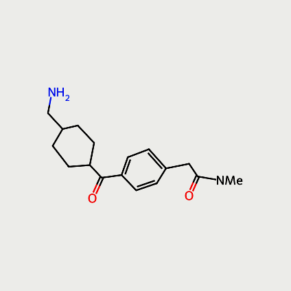 CNC(=O)Cc1ccc(C(=O)C2CCC(CN)CC2)cc1